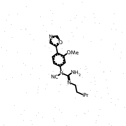 COc1cc(N(C#N)/C(N)=N/CCC(C)C)ccc1-c1cnco1